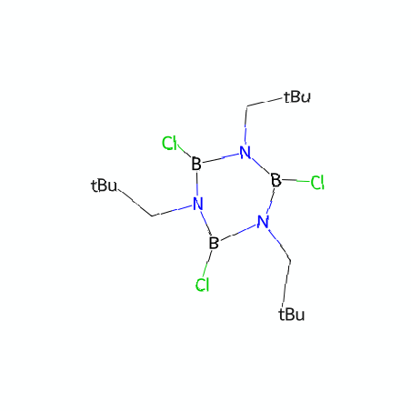 CC(C)(C)CN1B(Cl)N(CC(C)(C)C)B(Cl)N(CC(C)(C)C)B1Cl